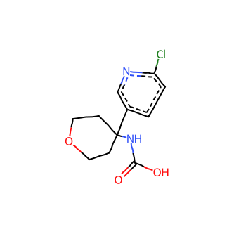 O=C(O)NC1(c2ccc(Cl)nc2)CCOCC1